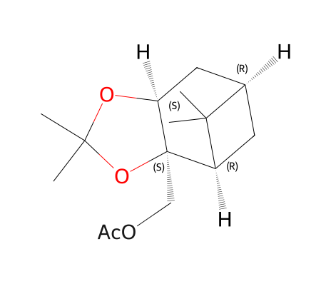 CC(=O)OC[C@]12OC(C)(C)O[C@H]1C[C@H]1C[C@@H]2C1(C)C